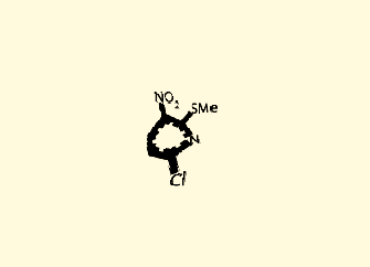 CSc1nc(Cl)ccc1[N+](=O)[O-]